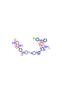 Nc1ncc(-c2cnn(C3CCN(CCC4CCN(C(=O)c5ccc(C(=O)NC6CCC(=O)NC6=O)cc5)CC4)CC3)c2)nc1C(=O)O[C@@H](C(=O)Nc1ccc(F)cc1)c1ccccc1